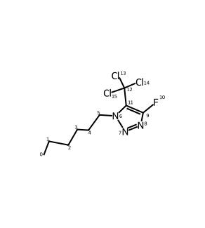 CCCCCCn1nnc(F)c1C(Cl)(Cl)Cl